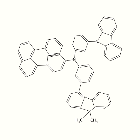 CC1(C)c2ccccc2-c2c(-c3cccc(N(C4=CC(n5c6ccccc6c6ccccc65)=CCC4)c4ccc(-c5cccc6cccc(-c7ccccc7)c56)cc4)c3)cccc21